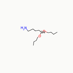 CCCCO[SiH](CCCCN)OCCCC